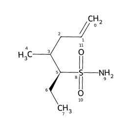 C=CCC(C)[C@H](CC)S(N)(=O)=O